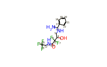 NC(NCC(O)C(F)(F)C(=O)NCC(F)(F)F)c1ccccc1